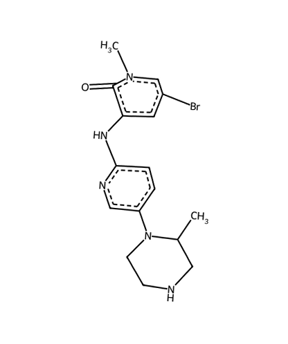 CC1CNCCN1c1ccc(Nc2cc(Br)cn(C)c2=O)nc1